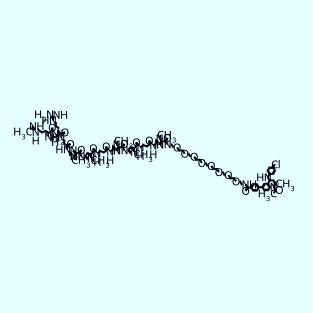 CC(=N)NCCC[C@H](N)C(=O)N[C@@H](CCCNC(=N)N)C(=O)NCCC(=O)Nc1cn(C)c(C(=O)Nc2cc(C(=O)NCCC(=O)Nc3cn(C)c(C(=O)Nc4cc(C(=O)NCCC(=O)Nc5cn(C)c(C(=O)NCCOCCOCCOCCOCCOCCOCCOCCOCCNC(=O)c6ccc(-c7ccc8c(c7)C(Nc7ccc(Cl)cc7)C[C@H](C)N8C(C)=O)cc6)n5)n(C)c4)n3)n(C)c2)n1